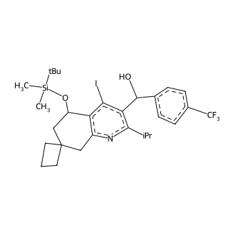 CC(C)c1nc2c(c(I)c1C(O)c1ccc(C(F)(F)F)cc1)C(O[Si](C)(C)C(C)(C)C)CC1(CCC1)C2